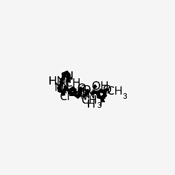 COc1cc(F)cc([C@@H](CO)NC(=O)[C@@H](C)N2Cc3cc(-c4nc(Nc5ccnn5C)ncc4Cl)cn3C2=O)c1